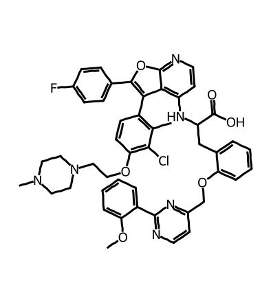 COc1ccccc1-c1nccc(COc2ccccc2CC(Nc2ccnc3oc(-c4ccc(F)cc4)c(-c4ccc(OCCN5CCN(C)CC5)c(Cl)c4C)c23)C(=O)O)n1